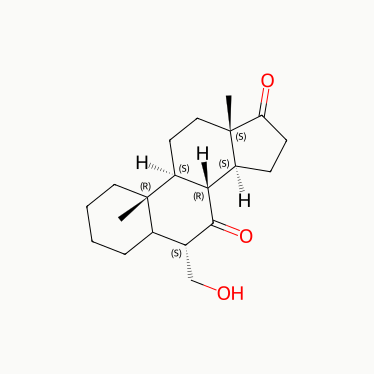 C[C@]12CCCCC1[C@@H](CO)C(=O)[C@@H]1[C@@H]2CC[C@]2(C)C(=O)CC[C@@H]12